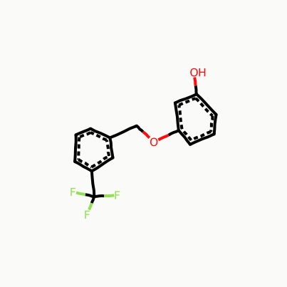 Oc1cccc(OCc2cccc(C(F)(F)F)c2)c1